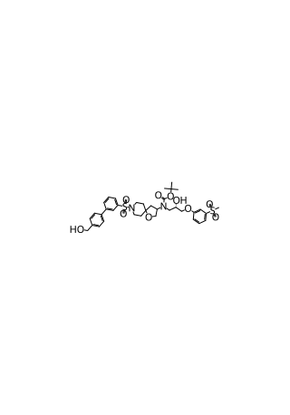 CC(C)(C)OC(=O)N(C[C@H](O)COc1cccc(S(C)(=O)=O)c1)C1COC2(CCN(S(=O)(=O)c3cccc(-c4ccc(CO)cc4)c3)CC2)C1